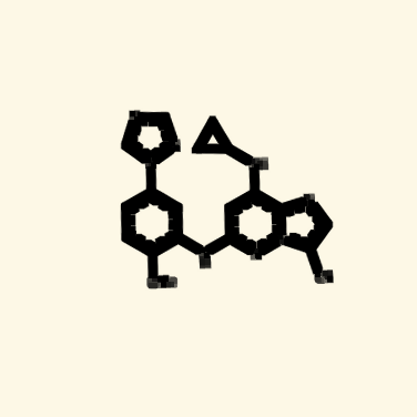 COc1ccc(-n2cncn2)cc1Nc1cc(NC2CC2)c2ncc(C#N)n2n1